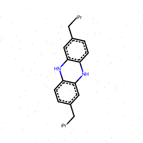 CC(C)Cc1ccc2c(c1)Nc1ccc(CC(C)C)cc1N2